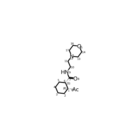 CC(=O)[C@@H]1CCCC[C@@H]1C(=O)NCCN1CCOCC1